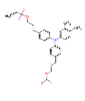 C=CC(I)(I)OCCCc1ccc(N(c2ccc(CCCOC(I)I)cc2)c2ccc(C)c(C)c2)cc1